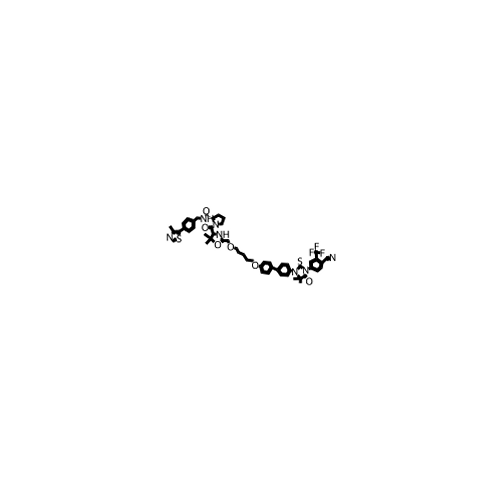 Cc1ncsc1-c1ccc(CNC(=O)[C@@H]2CCCN2C(=O)C(NC(=O)COCCCCCOc2ccc(-c3ccc(N4C(=S)N(c5ccc(C#N)c(C(F)(F)F)c5)C(=O)C4(C)C)cc3)cc2)C(C)(C)C)cc1